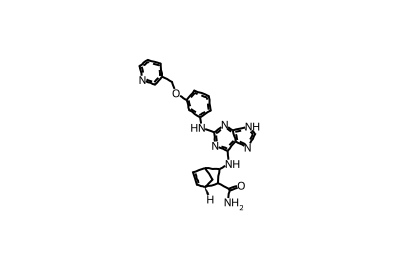 NC(=O)C1C(Nc2nc(Nc3cccc(OCc4cccnc4)c3)nc3[nH]cnc23)C2C=C[C@@H]1C2